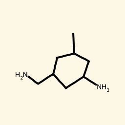 CC1CC(N)CC(CN)C1